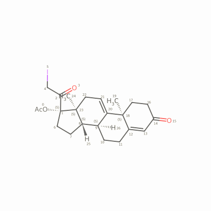 CC(=O)O[C@@]1(C(=O)CI)CC[C@H]2[C@@H]3CCC4=CC(=O)CC[C@]4(C)C3=CC[C@@]21C